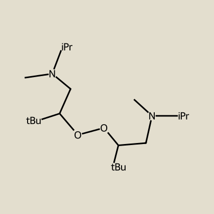 CC(C)N(C)CC(OOC(CN(C)C(C)C)C(C)(C)C)C(C)(C)C